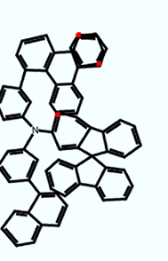 c1ccc(-c2ccccc2-c2c(-c3ccccc3)cccc2-c2cccc(N(c3cccc(-c4cccc5ccccc45)c3)c3ccc4c(c3)C3(c5ccccc5-c5ccccc53)c3ccccc3-4)c2)cc1